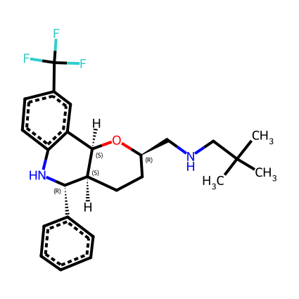 CC(C)(C)CNC[C@H]1CC[C@@H]2[C@H](O1)c1cc(C(F)(F)F)ccc1N[C@H]2c1ccccc1